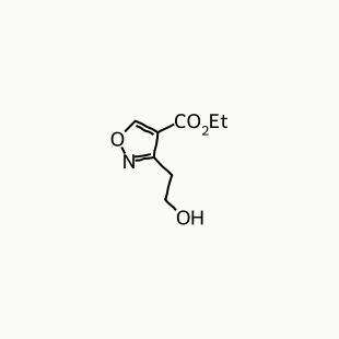 CCOC(=O)c1conc1CCO